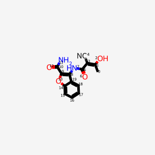 C/C(O)=C(/C#N)C(=O)Nc1c(C(N)=O)oc2ccccc12